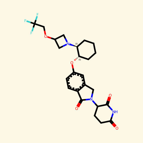 O=C1CCC(N2Cc3cc(O[C@H]4CCCC[C@@H]4N4CC(OCC(F)(F)F)C4)ccc3C2=O)C(=O)N1